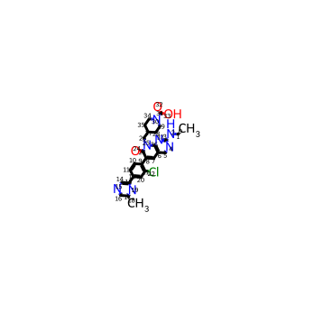 CCNc1ncc2cc(-c3ccc(-c4cncc(C)n4)cc3Cl)c(=O)n(CC3CCN(C(=O)O)CC3)c2n1